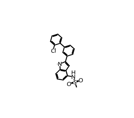 CS(=O)(=O)Nc1cccc2c1C=C(c1cccc(-c3ccccc3Cl)c1)[N]2